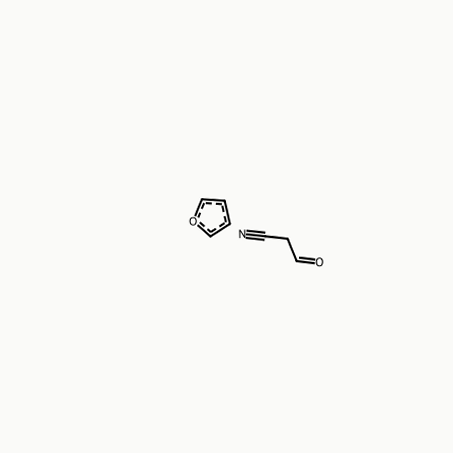 N#CCC=O.c1ccoc1